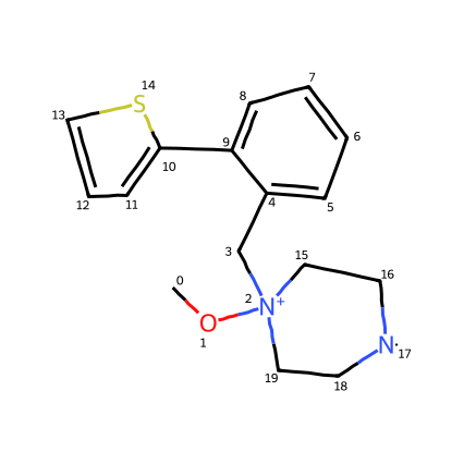 CO[N+]1(Cc2ccccc2-c2cccs2)CC[N]CC1